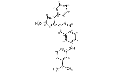 CC(C)c1cnnc(Nc2ccc3ncc(-c4cn(C)nc4-c4ccnnc4)cc3n2)c1